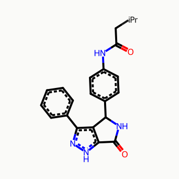 CC(C)CC(=O)Nc1ccc(C2NC(=O)c3[nH]nc(-c4ccccc4)c32)cc1